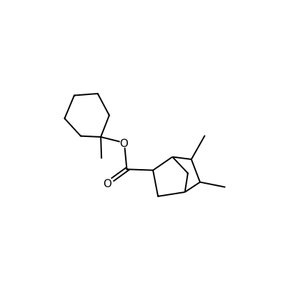 CC1C2CC(C(=O)OC3(C)CCCCC3)C(C2)C1C